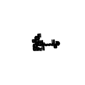 COc1ccc2c(c1)c(CC(=O)NCCCCCCNC(=O)C1CCCC1)c(C)n2C(=O)c1ccc(Cl)cc1